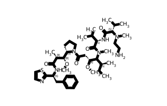 CC[C@H](C)C([C@@H](CC(=O)N1CCC[C@H]1[C@H](OC)[C@@H](C)C(=O)N[C@@H](Cc1ccccc1)c1nccs1)OC)N(C)C(=O)[C@@H](NC(=O)[C@H](C(C)C)N(C)CCN)C(C)C